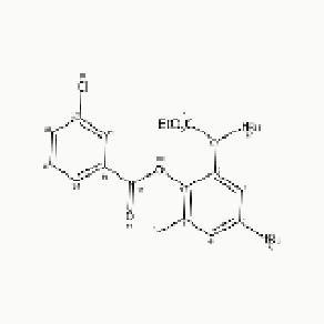 CCOC(=O)C(c1cc(C(C)(C)C)cc(C)c1OC(=O)c1cccc(Cl)c1)C(C)(C)C